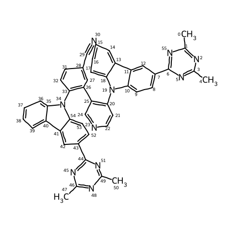 Cc1nc(C)nc(-c2ccc3c(c2)c2ccccc2n3-c2ccncc2-c2cc(C#N)ccc2-n2c3ccccc3c3cc(-c4nc(C)nc(C)n4)ccc32)n1